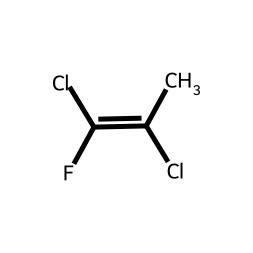 CC(Cl)=C(F)Cl